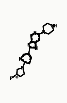 F[C@@H]1CCN(c2ccc(-c3nc4cc(N5CCNCC5)ncc4s3)cn2)C1